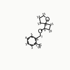 Fc1ccccc1COC1CCC12CCCO2